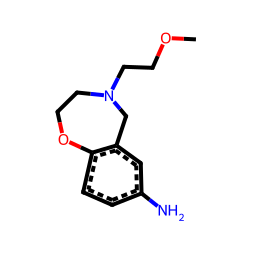 COCCN1CCOc2ccc(N)cc2C1